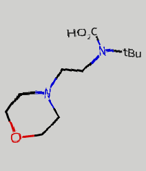 CC(C)(C)N(CCN1CCOCC1)C(=O)O